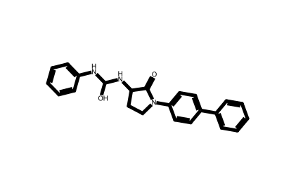 O=C1C(NC(O)Nc2ccccc2)CCN1c1ccc(-c2ccccc2)cc1